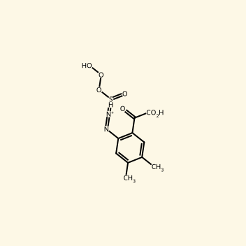 Cc1cc(N=[N+]=[SH](=O)OOO)c(C(=O)C(=O)O)cc1C